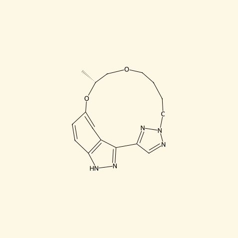 C[C@@H]1COCCCCn2ncc(n2)-c2n[nH]c3ccc(cc23)O1